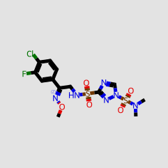 CO/N=C(\CNS(=O)(=O)c1ncn(S(=O)(=O)N(C)C)n1)c1ccc(Cl)c(F)c1